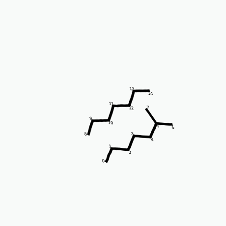 CCCCCC(C)C.CCCCCCC